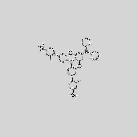 Cc1cc([Si](C)(C)C)ccc1-c1ccc2c(c1)Oc1cc(N(c3ccccc3)c3ccccc3)cc3c1B2c1ccc(-c2ccc([Si](C)(C)C)cc2C)cc1O3